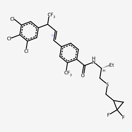 CC[C@H](CSCC1CC1(F)F)NC(=O)c1ccc(/C=C/C(c2cc(Cl)c(Cl)c(Cl)c2)C(F)(F)F)cc1C(F)(F)F